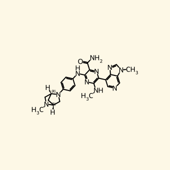 CNc1nc(Nc2ccc(N3C[C@H]4C[C@@H]3CN4C)cc2)c(C(N)=O)nc1-c1cncc2c1ncn2C